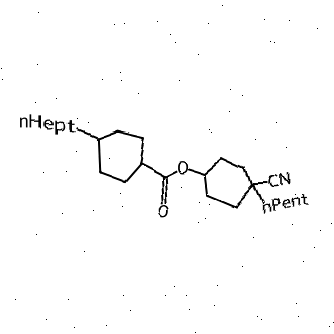 CCCCCCCC1CCC(C(=O)OC2CCC(C#N)(CCCCC)CC2)CC1